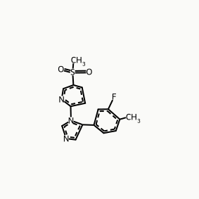 Cc1ccc(-c2cncn2-c2ccc(S(C)(=O)=O)cn2)cc1F